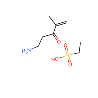 C=C(C)C(=O)CCN.CCS(=O)(=O)O